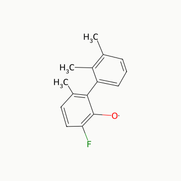 Cc1cccc(-c2c(C)ccc(F)c2[O])c1C